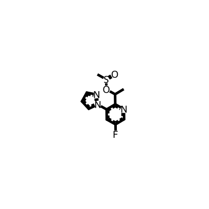 CC(OS(C)=O)c1ncc(F)cc1-n1cccn1